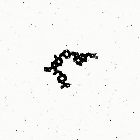 Cc1c(CN2CCC(Nc3ncnc4sc(CC(F)(F)F)cc34)CC2)ccc2c1cc(C#N)n2C(C)CN1CCN([S+](C)[O-])CC1